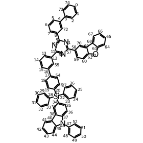 c1ccc(-c2cccc(-c3nc(-c4cccc(-c5ccc([Si](c6ccccc6)(c6ccccc6)c6ccc7c(c6)c6ccccc6n7-c6ccccc6)cc5)c4)nc(-c4ccc5oc6ccccc6c5c4)n3)c2)cc1